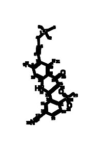 C[Si](C)(C)CC#Cc1c(F)cc2[nH]c(-c3cc(C#N)ccc3S(C)(=O)=O)cc(=O)c2c1F